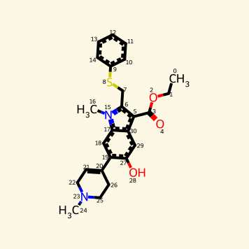 CCOC(=O)c1c(CSc2ccccc2)n(C)c2cc(C3=CCN(C)CC3)c(O)cc12